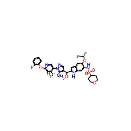 Cc1cc(Oc2ccccc2F)ncc1-n1ncc(C(=O)c2cc3cc(OC(F)F)c(NS(=O)(=O)C4CCOCC4)cc3[nH]2)c1N